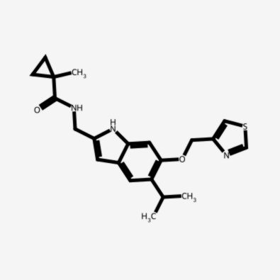 CC(C)c1cc2cc(CNC(=O)C3(C)CC3)[nH]c2cc1OCc1cscn1